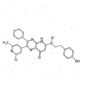 Cc1cc(-c2nc3c(=O)cc([S+]([O-])CCc4ccc(O)cc4)[nH]c3nc2-c2ccccc2)cc(Cl)n1